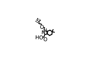 CC1(C)CCc2c(C(=O)O)nn(COCC[Si](C)(C)C)c2C1